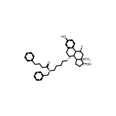 C[C@]12C[C@H](F)C3c4ccc(O)cc4C[C@@H](CCCCCN(Cc4ccccc4)C(=O)CCCc4ccccc4)C3C1CC[C@@H]2O